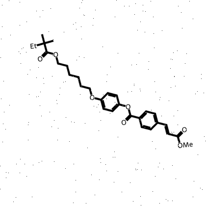 CCC(C)(C)C(=O)OCCCCCCOc1ccc(OC(=O)c2ccc(C=CC(=O)OC)cc2)cc1